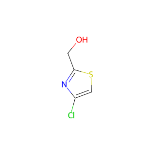 OCc1nc(Cl)cs1